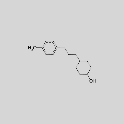 Cc1ccc(CCCC2CCC(O)CC2)cc1